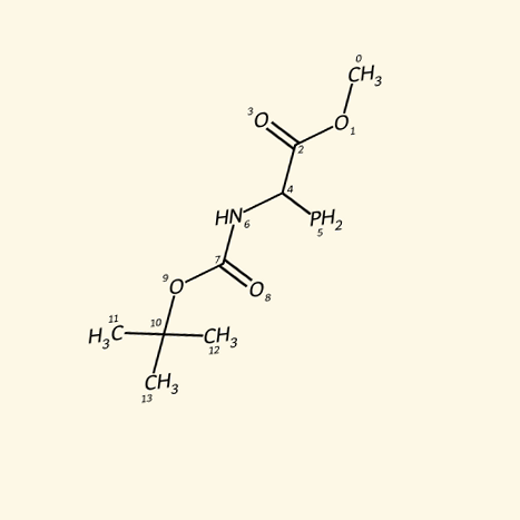 COC(=O)C(P)NC(=O)OC(C)(C)C